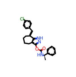 C[C@@H](NC(=O)Oc1n[nH]c2c1CCCC/C2=C\c1ccc(Cl)cc1)c1ccccc1